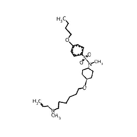 C=CCN(C)CCCCCCO[C@H]1CC[C@H](N(C)S(=O)(=O)c2ccc(OCCCC)cc2)CC1